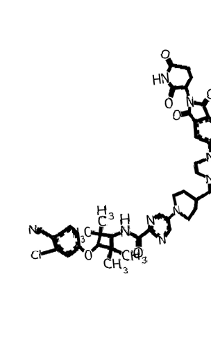 CC1(C)C(NC(=O)c2ncc(N3CCC(CN4CCN(c5ccc6c(c5)C(=O)N(C5CCC(=O)NC5=O)C6=O)CC4)CC3)cn2)C(C)(C)C1Oc1ccc(C#N)c(Cl)c1